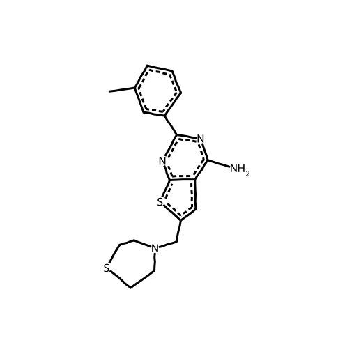 Cc1cccc(-c2nc(N)c3cc(CN4CCSCC4)sc3n2)c1